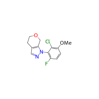 COc1ccc(F)c(-n2ncc3c2COCC3)c1Cl